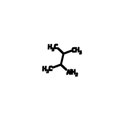 CC(C)[CH](C)[AlH2]